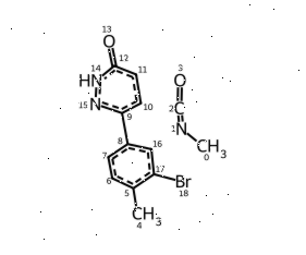 CN=C=O.Cc1ccc(-c2ccc(=O)[nH]n2)cc1Br